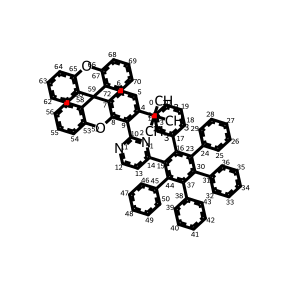 CC(C)(C)c1ccc2c(c1-c1nccc(-c3c(-c4ccccc4)c(-c4ccccc4)c(-c4ccccc4)c(-c4ccccc4)c3-c3ccccc3)n1)Oc1ccccc1C21c2ccccc2Oc2ccccc21